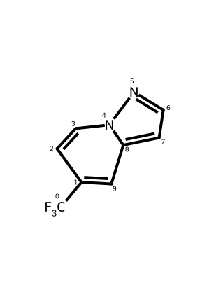 FC(F)(F)c1ccn2nccc2c1